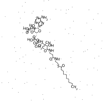 CCCCCCCCCC(=O)SCCNC(=O)CCNC(=O)[C@H](O)C(C)(C)COP(=O)(O)OP(=O)(O)OC[C@H]1O[C@@H](n2cnc3c(N)ncnc32)[C@H](O)[C@@H]1OP(=O)(O)O